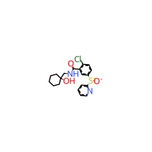 O=C(NCC1(O)CCCCC1)c1cc([S+]([O-])c2ccccn2)ccc1Cl